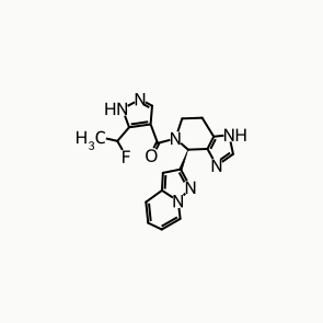 CC(F)c1[nH]ncc1C(=O)N1CCc2[nH]cnc2[C@H]1c1cc2ccccn2n1